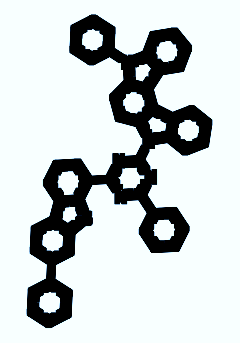 c1ccc(-c2ccc3c(c2)sc2c(-c4nc(-c5ccccc5)nc(-n5c6ccccc6c6c7c8ccccc8n(-c8ccccc8)c7ccc65)n4)cccc23)cc1